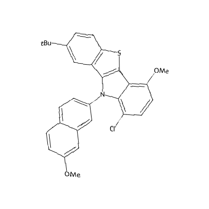 COc1ccc2ccc(-n3c4c(Cl)ccc(OC)c4c4sc5ccc(C(C)(C)C)cc5c43)cc2c1